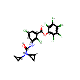 O=C(Oc1c(F)c(F)c(F)c(F)c1F)c1cc(Cl)cc(NC(=O)N(C2CC2)C2CC2)c1Cl